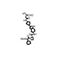 CCCN(C=O)CC(=O)Nc1ccc(-c2cc3cc(NC(=O)[C@@H]4CCCN4C(=O)[C@H](NC)c4ccccc4)ccc3[nH]2)cc1